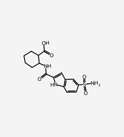 NS(=O)(=O)c1ccc2[nH]c(C(=O)NC3CCCCC3C(=O)O)cc2c1